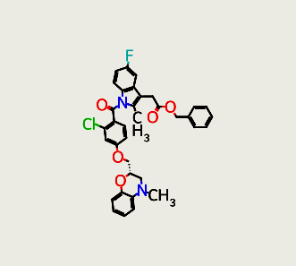 Cc1c(CC(=O)OCc2ccccc2)c2cc(F)ccc2n1C(=O)c1ccc(OC[C@@H]2CN(C)c3ccccc3O2)cc1Cl